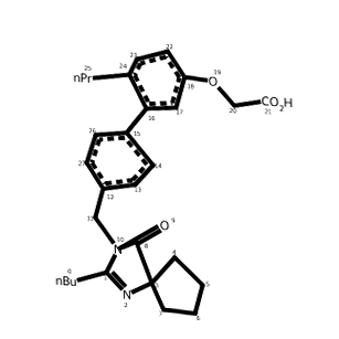 CCCCC1=NC2(CCCC2)C(=O)N1Cc1ccc(-c2cc(OCC(=O)O)ccc2CCC)cc1